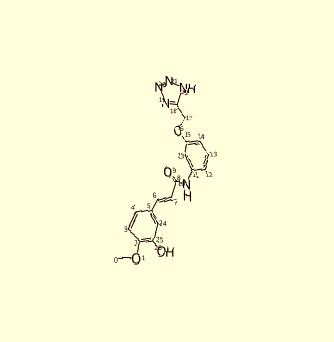 COc1ccc(C=CC(=O)Nc2cccc(OCc3nnn[nH]3)c2)cc1O